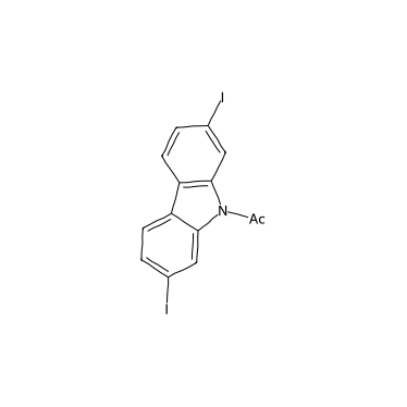 CC(=O)n1c2cc(I)ccc2c2ccc(I)cc21